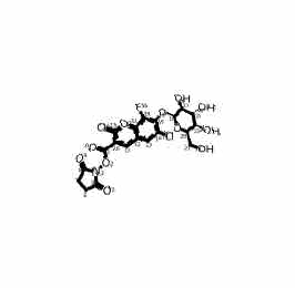 O=C(ON1C(=O)CCC1=O)c1cc2cc(Cl)c(O[C@@H]3OC(CO)[C@H](O)[C@@H](O)C3O)c(F)c2oc1=O